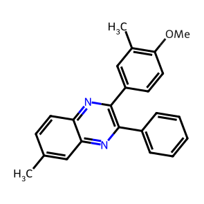 COc1ccc(-c2nc3ccc(C)cc3nc2-c2ccccc2)cc1C